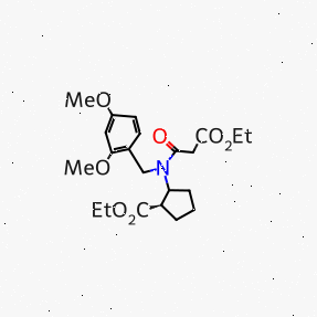 CCOC(=O)CC(=O)N(Cc1ccc(OC)cc1OC)C1CCC[C@H]1C(=O)OCC